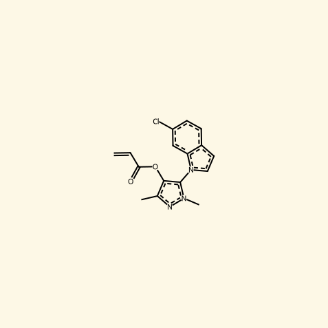 C=CC(=O)Oc1c(C)nn(C)c1-n1ccc2ccc(Cl)cc21